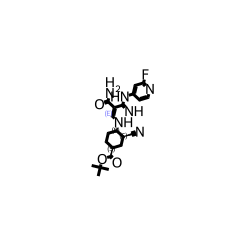 CC(C)(C)OC(=O)[C@H]1CC[C@H](N/C=C(\C(=N)Nc2ccnc(F)c2)C(N)=O)[C@@H](C#N)C1